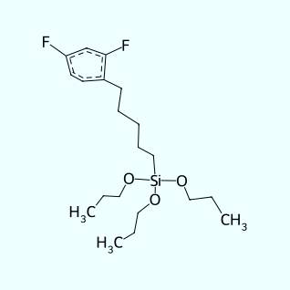 CCCO[Si](CCCCCc1ccc(F)cc1F)(OCCC)OCCC